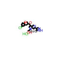 COc1[nH]ncc1-c1cc2c(cn1)c(C(=O)C1COc3ccc(Cl)cc3C1)cn2CCO.Cl